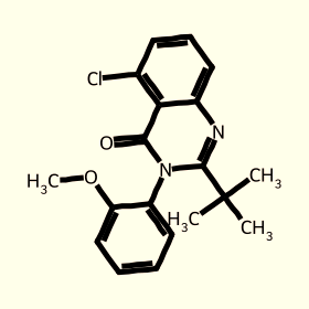 COc1ccccc1-n1c(C(C)(C)C)nc2cccc(Cl)c2c1=O